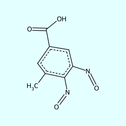 Cc1cc(C(=O)O)cc(N=O)c1N=O